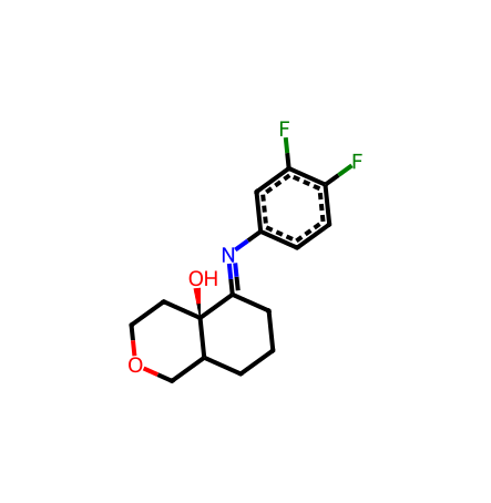 O[C@]12CCOCC1CCC/C2=N\c1ccc(F)c(F)c1